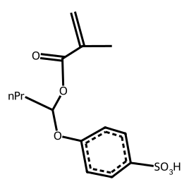 C=C(C)C(=O)OC(CCC)Oc1ccc(S(=O)(=O)O)cc1